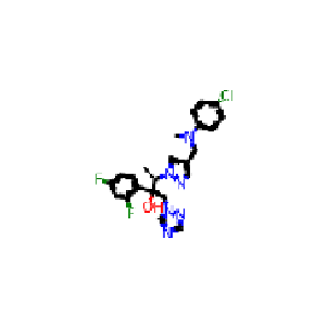 C[C@@H](n1cc(CN(C)c2ccc(Cl)cc2)cn1)[C@](O)(Cn1cncn1)c1ccc(F)cc1F